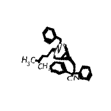 CC(C)=CCC[N+]1(Cc2ccccc2)CC2C(CC(C#N)(c3ccccc3)c3ccccc3)C2C1